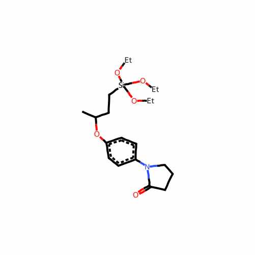 CCO[Si](CCC(C)Oc1ccc(N2CCCC2=O)cc1)(OCC)OCC